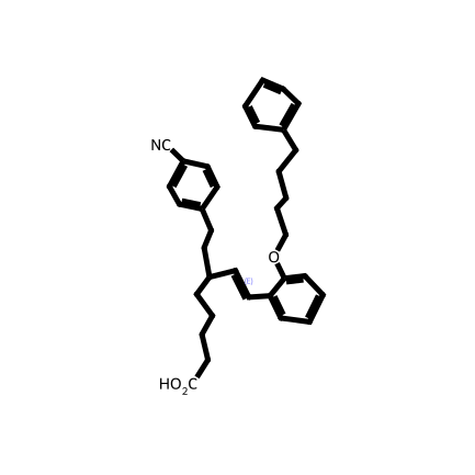 N#Cc1ccc(CCC(/C=C/c2ccccc2OCCCCCc2ccccc2)CCCCC(=O)O)cc1